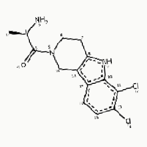 C[C@@H](N)C(=O)N1CCc2[nH]c3c(Cl)c(Cl)ccc3c2C1